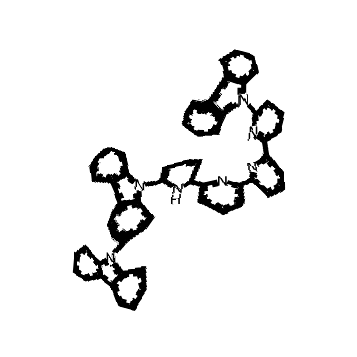 C1=CC(c2cccc(-c3cccc(-c4cccc(-n5c6ccccc6c6ccccc65)n4)n3)n2)NC(n2c3ccccc3c3cc(-n4c5ccccc5c5ccccc54)ccc32)=C1